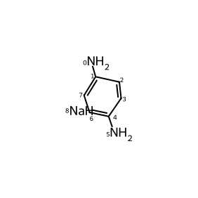 Nc1ccc(N)cc1.[NaH]